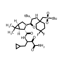 CC(C)(C)[C@H](NC1(CS(=O)(=O)C(C)(C)C)CCC(F)(F)CC1)C(=O)N1C[C@H]2[C@@H]([C@H]1C(=O)NC(CC1CC1)C(=O)C(N)=O)C2(C)C